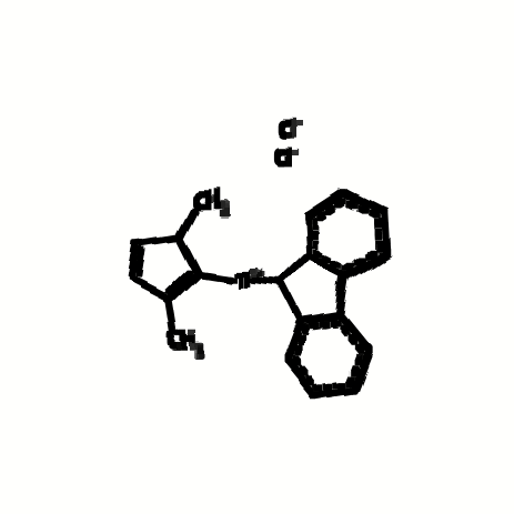 CC1=[C]([Ti+2][CH]2c3ccccc3-c3ccccc32)C(C)C=C1.[Cl-].[Cl-]